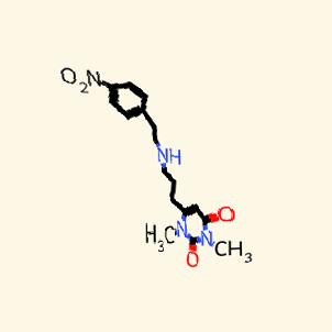 Cn1c(CCCNCCc2ccc([N+](=O)[O-])cc2)cc(=O)n(C)c1=O